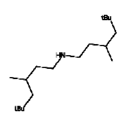 CC(CCNCCC(C)CC(C)(C)C)CC(C)(C)C